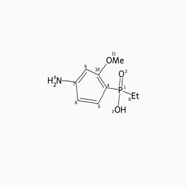 CCP(=O)(O)c1ccc(N)cc1OC